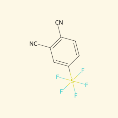 N#Cc1ccc(S(F)(F)(F)(F)F)cc1C#N